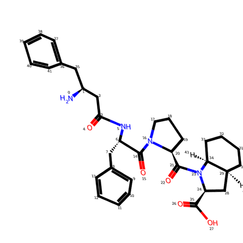 N[C@H](CC(=O)N[C@@H](Cc1ccccc1)C(=O)N1CCC[C@H]1C(=O)N1[C@H](C(=O)O)C[C@@H]2CCCC[C@@H]21)Cc1ccccc1